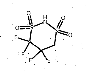 O=S1(=O)CC(F)(F)C(F)(F)S(=O)(=O)N1